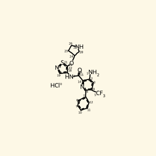 Cl.Nc1cc(C(F)(F)F)c(-c2ccccc2)nc1C(=O)Nc1cnsc1OC1CCNC1